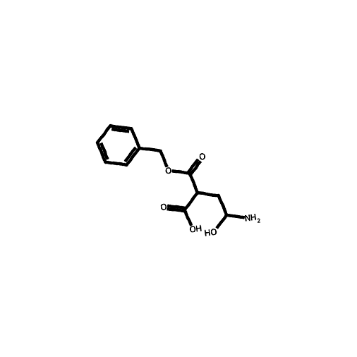 NC(O)CC(C(=O)O)C(=O)OCc1ccccc1